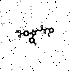 CCN1CCC[C@@H]1CNC(=O)CCc1cc(-c2cccc(F)c2)n(-c2ccc(C(=O)O)cc2)n1